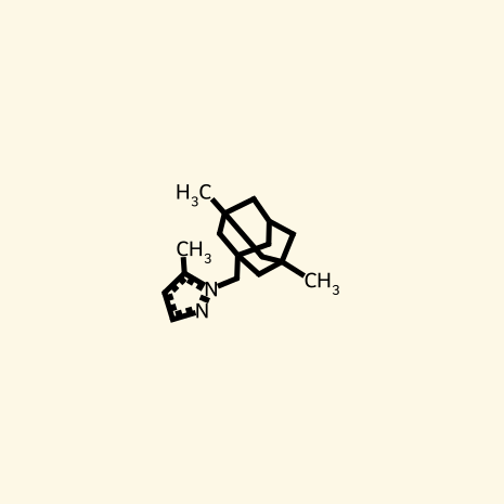 Cc1ccnn1CC12CC3CC(C)(CC(C)(C3)C1)C2